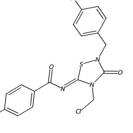 O=C(N=c1sn(Cc2ccc(Cl)cc2)c(=O)n1CCl)c1ccc(Cl)cc1